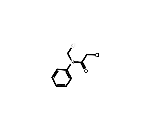 O=C(CCl)N(CCl)c1ccccc1